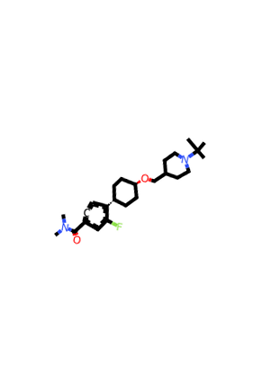 CN(C)C(=O)c1ccc([C@H]2CC[C@H](OCC3CCN(C(C)(C)C)CC3)CC2)c(F)c1